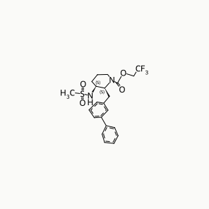 CS(=O)(=O)N[C@H]1CCCN(C(=O)OCC(F)(F)F)[C@H]1Cc1cccc(-c2ccccc2)c1